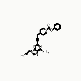 C#CCn1cnc2c(N)nc(C#CCC3CCN(C(=O)Oc4ccccc4)CC3)nc21